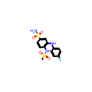 CS(=O)(=O)Nc1ccc(S(N)(=O)=O)cc1Nc1ccc(F)cc1